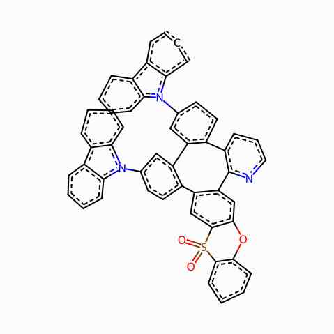 O=S1(=O)c2ccccc2Oc2cc3c(cc21)-c1ccc(-n2c4ccccc4c4ccccc42)cc1-c1cc(-n2c4ccccc4c4ccccc42)ccc1-c1cccnc1-3